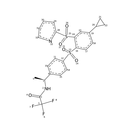 C[C@H](NC(=O)C(F)(F)F)c1ccc(S(=O)(=O)c2ccc(C3CC3)cc2S(=O)(=O)c2ccccn2)cc1